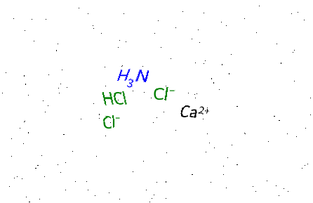 Cl.N.[Ca+2].[Cl-].[Cl-]